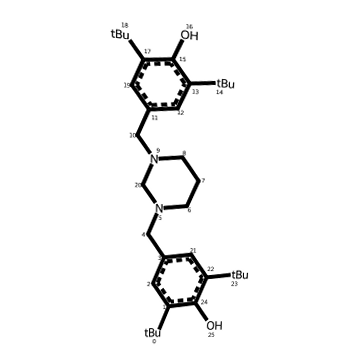 CC(C)(C)c1cc(CN2CCCN(Cc3cc(C(C)(C)C)c(O)c(C(C)(C)C)c3)C2)cc(C(C)(C)C)c1O